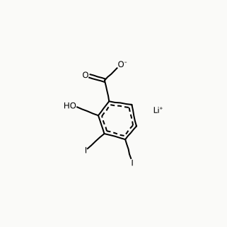 O=C([O-])c1ccc(I)c(I)c1O.[Li+]